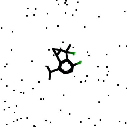 CC(C)c1ccc(F)c2c1C1CC1C2(C)F